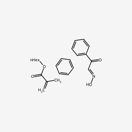 C=C(C)C(=O)OCCCCCC.O=C(C=NO)c1ccccc1.c1ccccc1